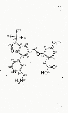 COc1ccc(CC(=O)O)c(OCc2cc(-c3ccnc(CN)c3)c3occ(C(F)(F)F)c3c2)c1